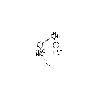 CN(C)CCCNS(=O)(=O)c1cccc(C#Cc2cnn(C)c2-c2ccc(C(F)(F)F)cc2)c1